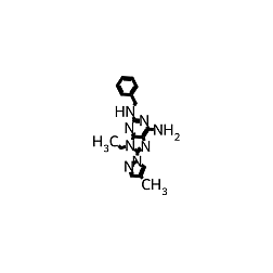 CCn1c(-n2cc(C)cn2)nc2c(N)nc(NCc3ccccc3)nc21